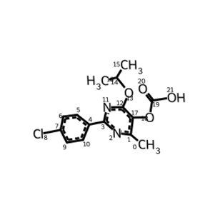 Cc1nc(-c2ccc(Cl)cc2)nc(OC(C)C)c1OC(=O)O